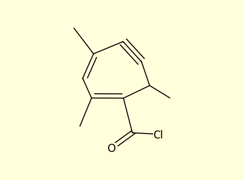 CC1=CC(C)=C(C(=O)Cl)C(C)C#C1